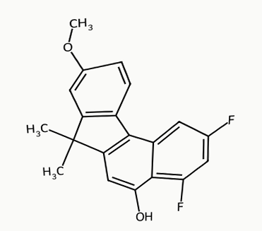 COc1ccc2c(c1)C(C)(C)c1cc(O)c3c(F)cc(F)cc3c1-2